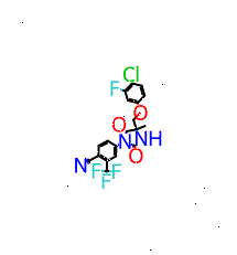 CC1(COc2ccc(Cl)c(F)c2)NC(=O)N(c2ccc(C#N)c(C(F)(F)F)c2)C1=O